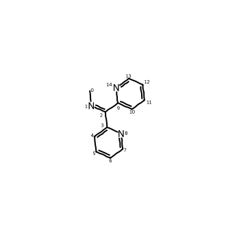 CN=C(c1ccccn1)c1ccccn1